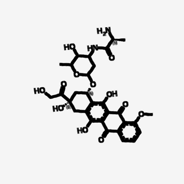 COc1cccc2c1C(=O)c1c(O)c3c(c(O)c1C2=O)C[C@@](O)(C(=O)CO)C[C@@H]3OC1CC(NC(=O)[C@H](C)N)C(O)C(C)O1